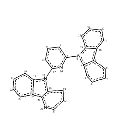 c1cc(-n2c3ccccc3c3ccccc32)nc(-n2c3ccccc3c3ncccc32)c1